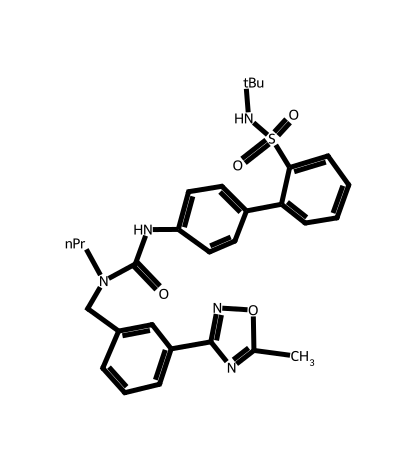 CCCN(Cc1cccc(-c2noc(C)n2)c1)C(=O)Nc1ccc(-c2ccccc2S(=O)(=O)NC(C)(C)C)cc1